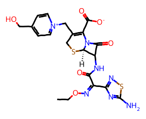 CCO/N=C(\C(=O)NC1C(=O)N2C(C(=O)[O-])=C(C[n+]3ccc(CO)cc3)CS[C@H]12)c1nsc(N)n1